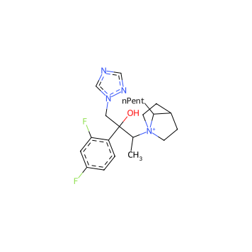 CCCCCC1C2CC[N+]1(C(C)C(O)(Cn1cncn1)c1ccc(F)cc1F)CC2